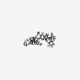 COC(=O)C1C2COCC1CN(c1ncc(-c3cn4c(Cc5ccccc5OC(F)F)c(C)nc4cc3F)cn1)C2